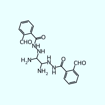 NC(NNC(=O)c1ccccc1C=O)C(N)NNC(=O)c1ccccc1C=O